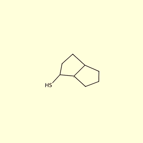 SC1CCC2CCC[C]12